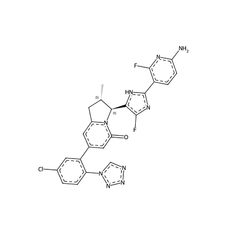 C[C@H]1Cc2cc(-c3cc(Cl)ccc3-n3cnnn3)cc(=O)n2[C@@H]1c1[nH]c(-c2ccc(N)nc2F)nc1F